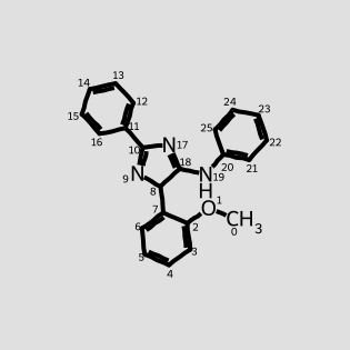 COc1ccccc1C1N=C(c2ccccc2)N=C1Nc1ccccc1